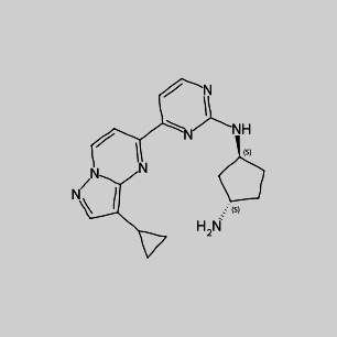 N[C@H]1CC[C@H](Nc2nccc(-c3ccn4ncc(C5CC5)c4n3)n2)C1